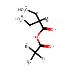 CCC(CC)(CC)C(=O)OC(=O)C(CC)(CC(=O)O)CC(=O)O